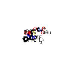 C[C@@H]1Cc2c(n(C(=O)OC(C)(C)C)c3ccccc23)[C@@H](c2ccc(OC3CN(C(=O)OC(C)(C)C)C3)s2)N1CC(F)(F)F